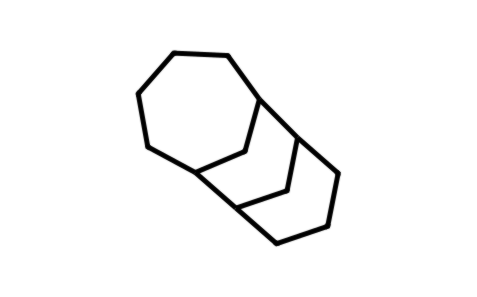 C1CCC2CC(C1)C1CCCC2C1